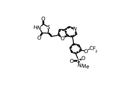 CNS(=O)(=O)c1ccc(-c2cncc3cc(/C=C4\SC(=O)NC4=O)oc23)cc1OC(F)(F)F